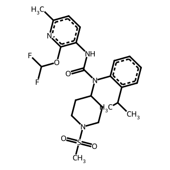 Cc1ccc(NC(=O)N(c2ccccc2C(C)C)C2CCN(S(C)(=O)=O)CC2)c(OC(F)F)n1